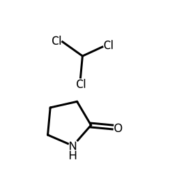 ClC(Cl)Cl.O=C1CCCN1